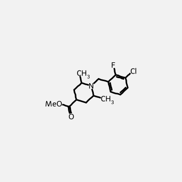 COC(=O)C1CC(C)N(Cc2cccc(Cl)c2F)C(C)C1